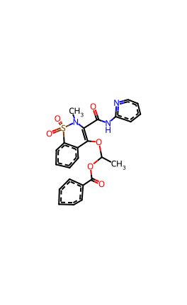 CC(OC(=O)c1ccccc1)OC1=C(C(=O)Nc2ccccn2)N(C)S(=O)(=O)c2ccccc21